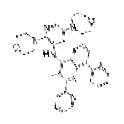 Cc1c(-c2ccccn2)nc2c(-c3ccccn3)cccc2c1Nc1cc(N2CCOCC2)cnc1N1CCOCC1